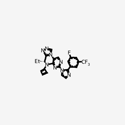 CC[C@@H]1c2nncn2-c2cnc(-n3ccnc3-c3cc(F)cc(C(F)(F)F)c3)nc2N1C1=CC=C1